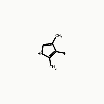 Cc1c[nH]c(C)c1F